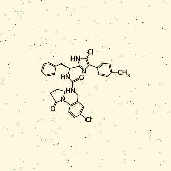 Cc1ccc(-c2nc([C@H](Cc3ccccc3)NC(=O)NCc3cc(Cl)ccc3N3CCCC3=O)[nH]c2Cl)cc1